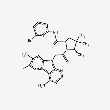 Cc1cc2c(cc1F)c1c(N)ncnc1n2CC(=O)N1[C@H](C(=O)Nc2cccc(Br)n2)CC(C)(C)[C@H]1C